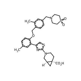 Cc1ccc(OCc2ccc(CN3CCS(=O)(=O)CC3)cc2C)c(-c2csc(N3CC[C@@]4(C(=O)O)C[C@H]4C3)n2)c1